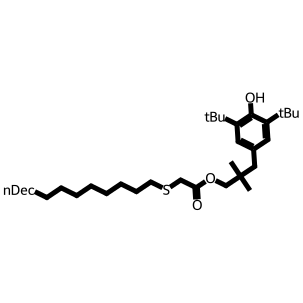 CCCCCCCCCCCCCCCCCCSCC(=O)OCC(C)(C)Cc1cc(C(C)(C)C)c(O)c(C(C)(C)C)c1